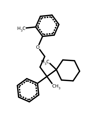 Cc1ccccc1OCCC(C)(c1ccccc1)C1(C)CCCCC1